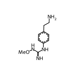 CONC(=N)Nc1ccc(CCN)cc1